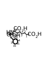 O=C(O)CCCCCC(NP(=O)(O)Cc1ccccc1)C(=O)O